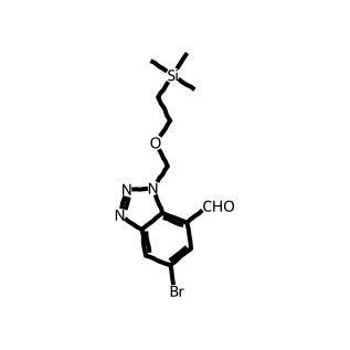 C[Si](C)(C)CCOCn1nnc2cc(Br)cc(C=O)c21